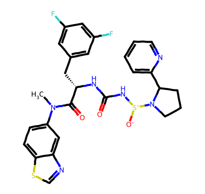 CN(C(=O)[C@H](Cc1cc(F)cc(F)c1)NC(=O)N[S+]([O-])N1CCCC1c1ccccn1)c1ccc2scnc2c1